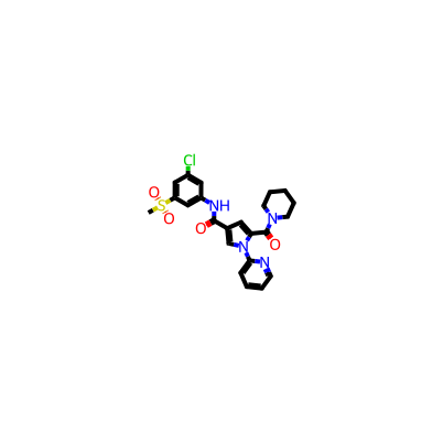 CS(=O)(=O)c1cc(Cl)cc(NC(=O)c2cc(C(=O)N3CCCCC3)n(-c3ccccn3)c2)c1